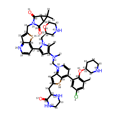 Cc1cc(Cl)cc(-c2cc[n+](CN(C)c3cc(-c4ccnc5cc(CN6C(=O)C7C(C6=O)C7(C)C)sc45)n(C[C@@H]4CNCCO4)c3C)c3cc(CC4NCCNC4=O)sc23)c1O[C@H]1CCCNC1